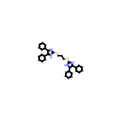 c1ccc(-c2nc(SCCCSc3nc(-c4ccccc4)c(-c4ccccc4)[nH]3)[nH]c2-c2ccccc2)cc1